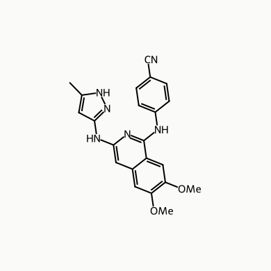 COc1cc2cc(Nc3cc(C)[nH]n3)nc(Nc3ccc(C#N)cc3)c2cc1OC